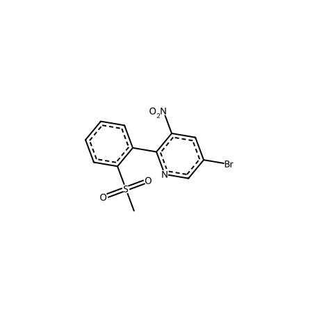 CS(=O)(=O)c1ccccc1-c1ncc(Br)cc1[N+](=O)[O-]